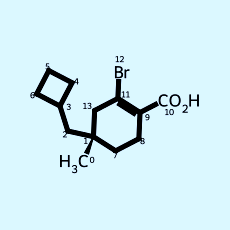 C[C@]1(CC2CCC2)CCC(C(=O)O)=C(Br)C1